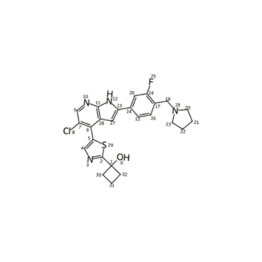 OC1(c2ncc(-c3c(Cl)cnc4[nH]c(-c5ccc(CN6CCCC6)c(F)c5)cc34)s2)CCC1